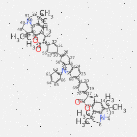 CC1(C)CCN2CCC(C)(C)c3c2c1cc1cc(-c2ccc(-c4ccc5c6ccc(-c7ccc(-c8cc9cc%10c%11c(c9oc8=O)C(C)(C)CCN%11CCC%10(C)C)cc7)cc6n(-c6ccccc6)c5c4)cc2)c(=O)oc31